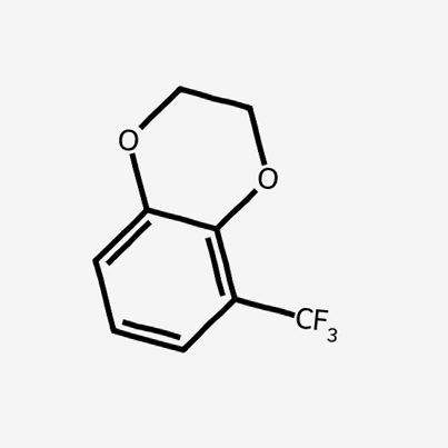 FC(F)(F)c1cccc2c1OCCO2